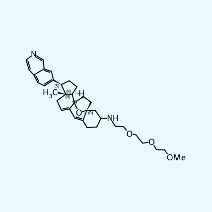 COCCOCCOCCNC1CCC2=CC3=CC[C@]4(C)[C@@H](c5ccc6ccncc6c5)CC[C@H]4[C@@]34CC[C@]2(C1)O4